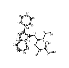 C=CC(=O)C(C)CC(CCC)Cn1c(-c2ccccc2)nc2cncnc21